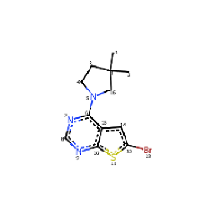 CC1(C)CCN(c2ncnc3sc(Br)cc23)C1